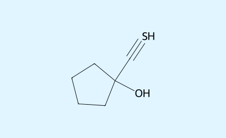 OC1(C#[SH])CCCC1